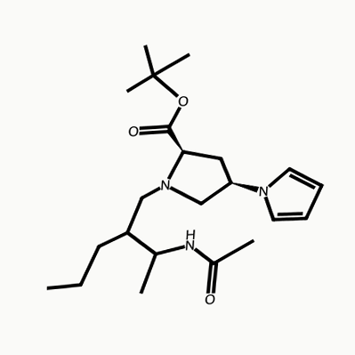 CCCC(CN1C[C@H](n2cccc2)C[C@@H]1C(=O)OC(C)(C)C)C(C)NC(C)=O